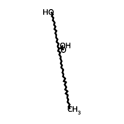 CCCCCCCCCCCCCCCCCCCCCCCCCCCCC(CCCCCCCCCCCCCCCCO)C(=O)O